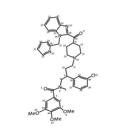 COc1cc(C(=O)N(C)CC(CCN2CCC(C(=O)c3nc4ccccc4n3Cc3ccccn3)CC2)c2cccc(Cl)c2)cc(OC)c1OC